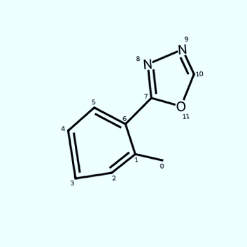 Cc1ccccc1-c1nnco1